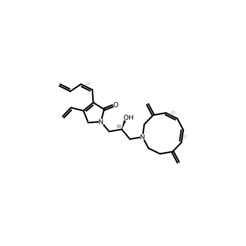 C=C/C=C\C1=C(C=C)CN(C[C@@H](O)CN2CCC(=C)/C=C\C=C/C(=C)C2)C1=O